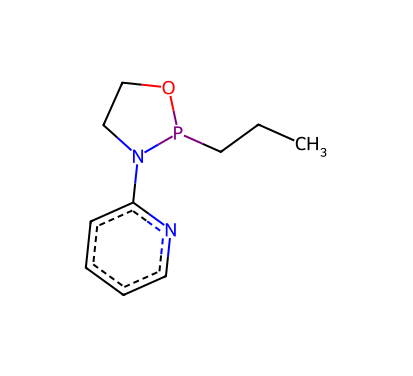 CCCP1OCCN1c1ccccn1